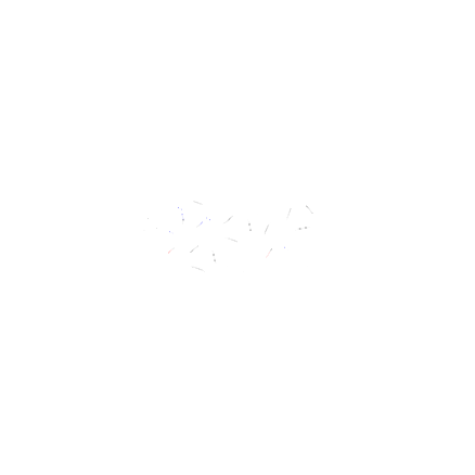 CNC(=O)c1c(-c2ccc(F)cc2)oc2ccc(-c3cc(C(=O)N(c4cnccn4)C4CC4)ccc3C)cc12